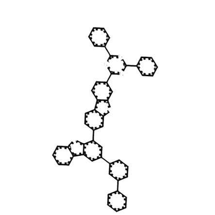 c1ccc(-c2cccc(-c3cc(-c4ccc5c(c4)sc4cc(-c6nc(-c7ccccc7)nc(-c7ccccc7)n6)ccc45)c4sc5ccccc5c4c3)c2)cc1